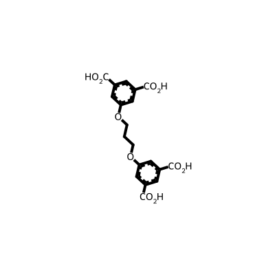 O=C(O)c1cc(OCCCOc2cc(C(=O)O)cc(C(=O)O)c2)cc(C(=O)O)c1